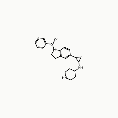 [O-][S+](c1ccccc1)N1CCc2cc(C3CC3NC3CCNCC3)ccc21